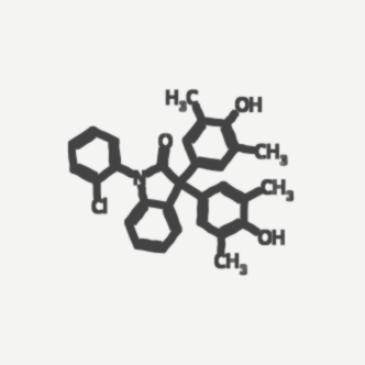 Cc1cc(C2(c3cc(C)c(O)c(C)c3)C(=O)N(c3ccccc3Cl)c3ccccc32)cc(C)c1O